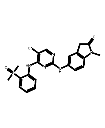 CN1C(=O)Cc2cc(Nc3ncc(Br)c(Nc4ccccc4P(C)(C)=O)n3)ccc21